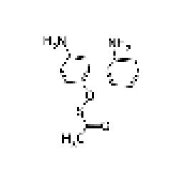 CC(=O)SOc1ccc(N)cc1-c1ccccc1N